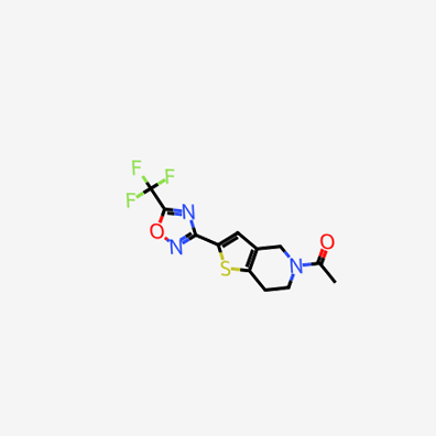 CC(=O)N1CCc2sc(-c3noc(C(F)(F)F)n3)cc2C1